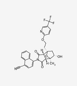 C[C@]12O[C@](CCOc3ccc(C(F)(F)F)cn3)(C[C@@H]1O)[C@H]1C(=O)N(c3ccc(C#N)c4ccccc34)C(=O)[C@H]12